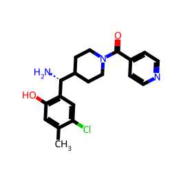 Cc1cc(O)c([C@H](N)C2CCN(C(=O)c3ccncc3)CC2)cc1Cl